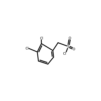 O=S(=O)(Cl)Cc1cccc(Cl)c1Cl